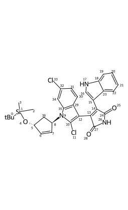 CC(C)(C)[Si](C)(C)O[C@H]1C=C[C@H](n2c(Cl)c(C3=C(c4c[nH]c5ccccc45)C(=O)NC3=O)c3ccc(Cl)cc32)C1